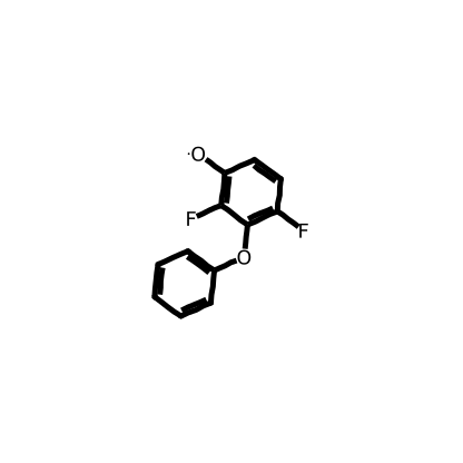 [O]c1ccc(F)c(Oc2ccccc2)c1F